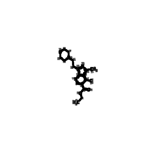 CCOC(=O)c1cnc2c(c(C)nn2CCN2CCOCC2)c1Cl